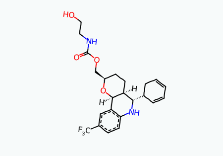 O=C(NCCO)OC[C@H]1CC[C@@H]2[C@H](O1)c1cc(C(F)(F)F)ccc1N[C@H]2C1C=CC=CC1